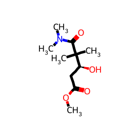 COC(=O)C[C@H](O)C(C)(C)C(=O)N(C)C